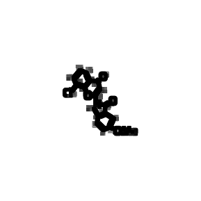 COc1ccc2c(c1)C(=O)N(c1cc(=O)c3cccc(Cl)c3o1)C2